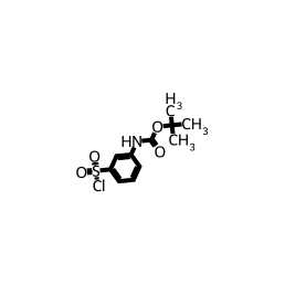 CC(C)(C)OC(=O)Nc1cccc(S(=O)(=O)Cl)c1